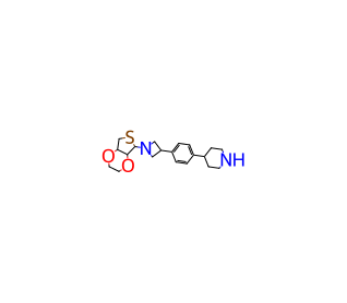 c1cc(C2CN(C3SCC4OCCOC43)C2)ccc1C1CCNCC1